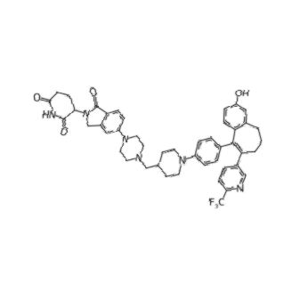 O=C1CCC(N2Cc3cc(N4CCN(CC5CCN(c6ccc(C7=C(c8ccc(C(F)(F)F)nc8)CCCc8cc(O)ccc87)cc6)CC5)CC4)ccc3C2=O)C(=O)N1